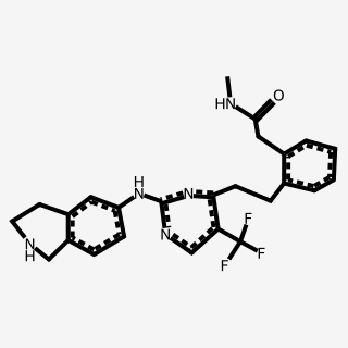 CNC(=O)Cc1ccccc1CCc1nc(Nc2ccc3c(c2)CCNC3)ncc1C(F)(F)F